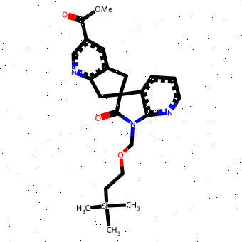 COC(=O)c1cnc2c(c1)CC1(C2)C(=O)N(COCC[Si](C)(C)C)c2ncccc21